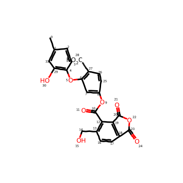 Cc1ccc(Oc2cc(OC(=O)c3c(CO)ccc4c3C(=O)OC4=O)ccc2C(=O)O)c(O)c1